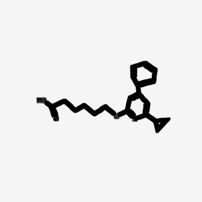 O=C(O)CCCCCOc1cc(-c2ccccc2)cc(C2CC2)n1